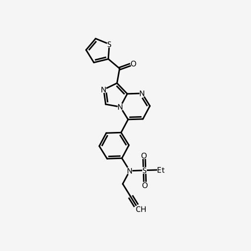 C#CCN(c1cccc(-c2ccnc3c(C(=O)c4cccs4)ncn23)c1)S(=O)(=O)CC